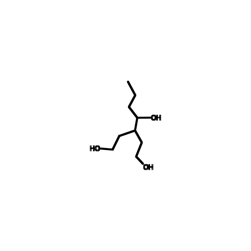 CCCC(O)C(CCO)CCO